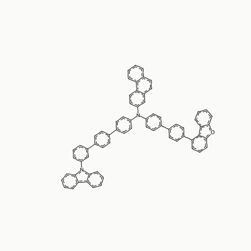 c1cc(-c2ccc(-c3ccc(N(c4ccc(-c5ccc(-c6cccc7oc8ccccc8c67)cc5)cc4)c4ccc5c(ccc6ccccc65)c4)cc3)cc2)cc(-n2c3ccccc3c3ccccc32)c1